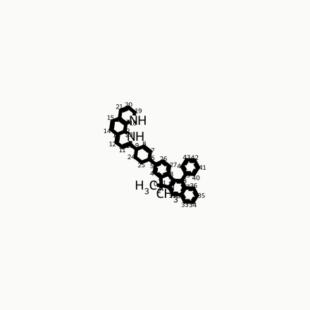 CC1(C)c2cc(C3C=CC(C4=CC=C5C=CC6=C(NCC=C6)C5N4)CC3)ccc2-c2c1cc1ccccc1c2-c1ccccc1